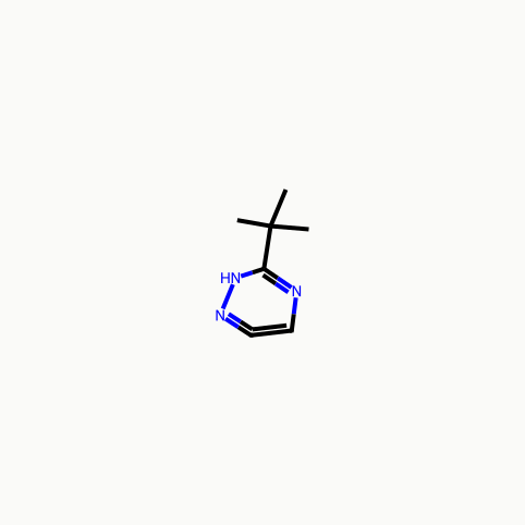 CC(C)(C)C1=NC=C=NN1